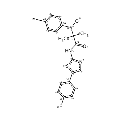 CC(C)(C(=O)Nc1ncc(-c2ccc(F)cc2)s1)[S+]([O-])c1ccc(F)cc1